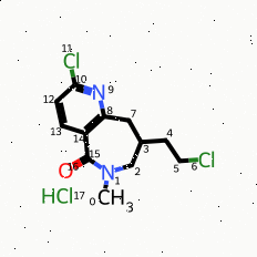 CN1CC(CCCl)Cc2nc(Cl)ccc2C1=O.Cl